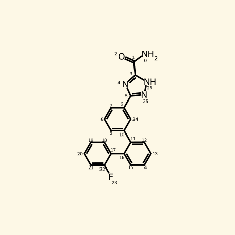 NC(=O)c1nc(-c2cccc(-c3ccccc3-c3ccccc3F)c2)n[nH]1